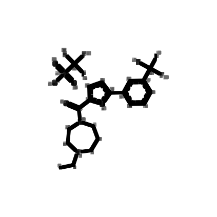 CC[S+]1CCCN(C(=O)c2ccc(-c3cccc(C(F)(F)F)c3)o2)CC1.O=S(=O)([O-])C(F)(F)F